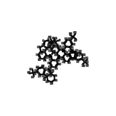 CC(C)(C)c1ccc2c(c1)-c1c(cccc1N1c3cc(N4c5ccc(C(C)(C)C)cc5C5(C)CCCCC45C)ccc3B3c4ccc5c(sc6ccc(C(C)(C)C)cc65)c4N(c4ccc(C(C)(C)C)cc4-c4ccccc4)c4cc(C(C)(C)C)cc1c43)C2